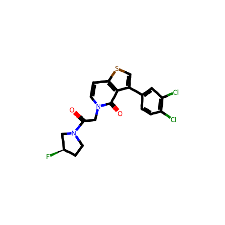 O=C(Cn1ccc2scc(-c3ccc(Cl)c(Cl)c3)c2c1=O)N1CC[C@@H](F)C1